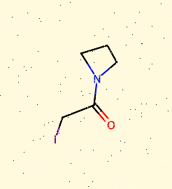 O=C(CI)N1CCC1